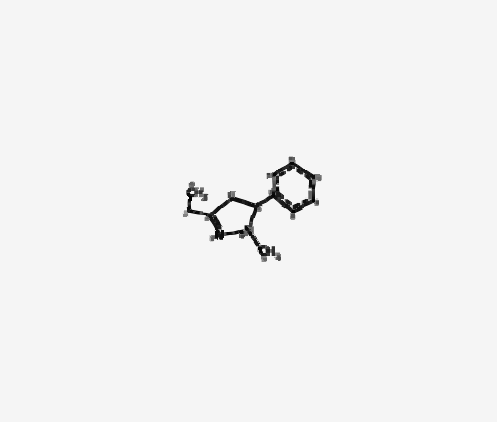 CCC1=NN(C)C(c2ccccc2)C1